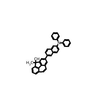 CC1(C)c2cccc3ccc4cc(-c5ccc6cc(N(c7ccccc7)c7ccccc7)ccc6c5)cc1c4c23